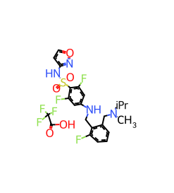 CC(C)N(C)Cc1cccc(F)c1CNc1cc(F)c(S(=O)(=O)Nc2ccon2)c(F)c1.O=C(O)C(F)(F)F